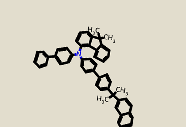 CC(C)(c1ccc(-c2ccc(N(c3ccc(-c4ccccc4)cc3)c3cccc4c3-c3ccccc3C4(C)C)cc2)cc1)c1ccc2ccccc2c1